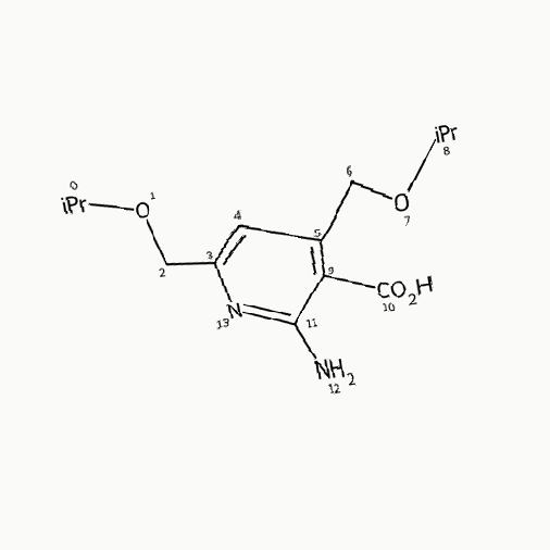 CC(C)OCc1cc(COC(C)C)c(C(=O)O)c(N)n1